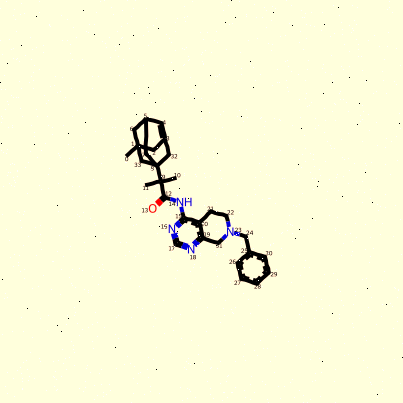 CC12CC3=CC(C1)CC(C(C)(C)C(=O)Nc1ncnc4c1CCN(Cc1ccccc1)C4)(C3)C2